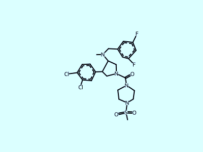 CN(Cc1cc(F)cc(F)c1)C1CN(C(=O)N2CCN(S(C)(=O)=O)CC2)CC1c1ccc(Cl)c(Cl)c1